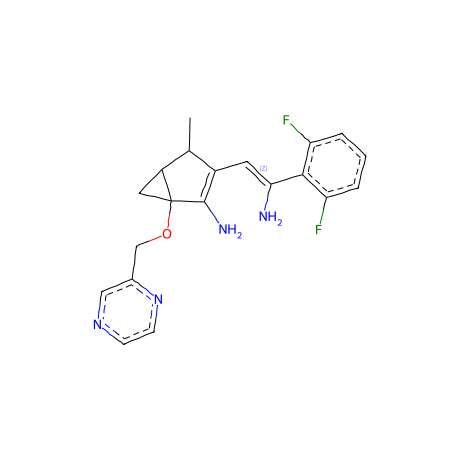 CC1C(/C=C(\N)c2c(F)cccc2F)=C(N)C2(OCc3cnccn3)CC12